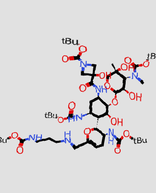 CN(C(=O)OC(C)(C)C)[C@@H]1[C@@H](O)[C@@H](O[C@H]2[C@H](NC(=O)C3(O)CN(C(=O)OC(C)(C)C)C3)C[C@H](NC(=O)OC(C)(C)C)C([C@H]3OC(CNCCCNC(=O)OC(C)(C)C)=CC[C@H]3NC(=O)OC(C)(C)C)[C@@H]2O)OC[C@]1(C)O